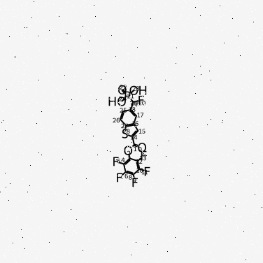 O=C(Oc1c(F)c(F)c(F)c(F)c1F)c1cc2cc([C@H](F)P(=O)(O)O)ccc2s1